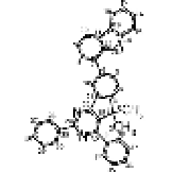 CC1(C)c2ccc(-c3cccc4c3oc3ccccc34)cc2-c2nc(-c3ccccc3)nc(-c3ccccc3)c21